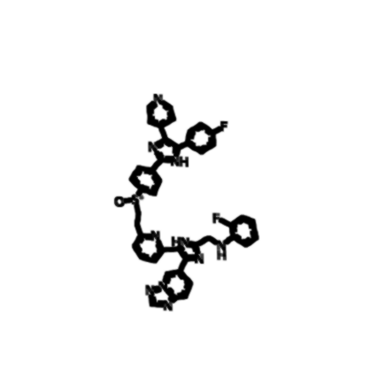 [O-][S+](CCc1cccc(-c2[nH]c(CNc3ccccc3F)nc2-c2ccc3ncnn3c2)n1)c1ccc(-c2nc(-c3ccncc3)c(-c3ccc(F)cc3)[nH]2)cc1